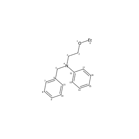 CCOCCN(Cc1ccccc1)c1cc[c]cc1